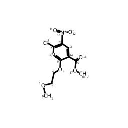 COCCOc1nc(Cl)c([N+](=O)[O-])cc1C(=O)OC